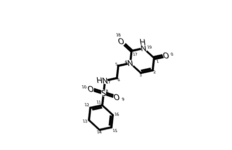 O=c1ccn(CCNS(=O)(=O)C2=CCCC=C2)c(=O)[nH]1